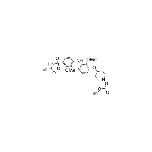 CCC(=O)NS(=O)(=O)c1ccc(Nc2nccc(OC3CCN(OC(=O)OC(C)C)CC3)c2OC)c(OC)c1